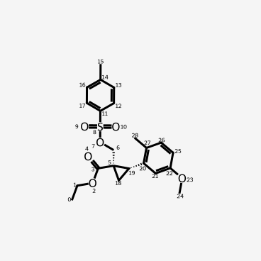 CCOC(=O)[C@]1(COS(=O)(=O)c2ccc(C)cc2)C[C@H]1c1cc(OC)ccc1C